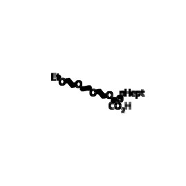 CCCCCCCOC(OCCOCCOCCOCC)C(=O)O